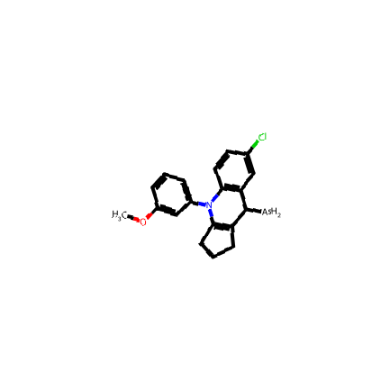 COc1cccc(N2C3=C(CCC3)C([AsH2])c3cc(Cl)ccc32)c1